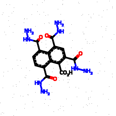 NNC(=O)c1cc(C(=O)NN)c2c(C(=O)NN)ccc(C(=O)NN)c2c1C(=O)O